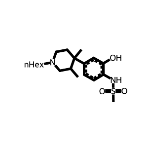 CCCCCCN1CCC(C)(c2ccc(NS(C)(=O)=O)c(O)c2)C(C)C1